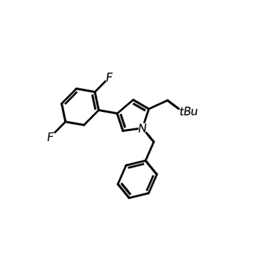 CC(C)(C)Cc1cc(C2=C(F)C=CC(F)C2)cn1Cc1ccccc1